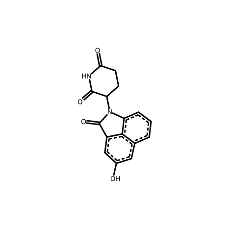 O=C1CCC(N2C(=O)c3cc(O)cc4cccc2c34)C(=O)N1